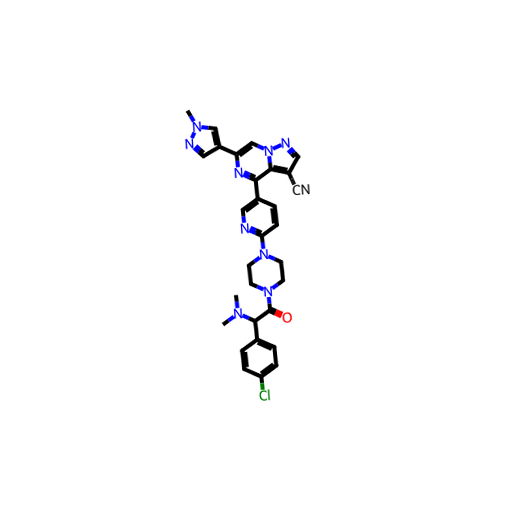 CN(C)C(C(=O)N1CCN(c2ccc(-c3nc(-c4cnn(C)c4)cn4ncc(C#N)c34)cn2)CC1)c1ccc(Cl)cc1